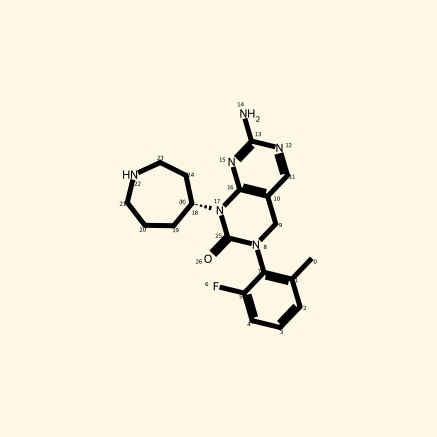 Cc1cccc(F)c1N1Cc2cnc(N)nc2N([C@@H]2CCCNCC2)C1=O